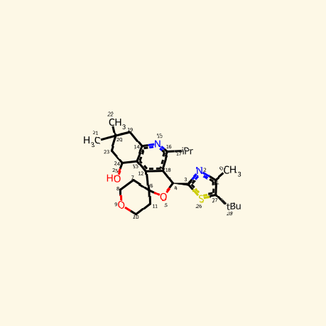 Cc1nc([C@H]2OC3(CCOCC3)c3c4c(nc(C(C)C)c32)CC(C)(C)CC4O)sc1C(C)(C)C